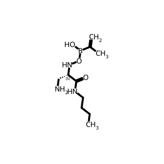 C=C(C)B(O)ON[C@@H](CN)C(=O)NCCCC